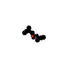 C=C(/C=C(\C=C/C)Oc1cccc(C[C@@]2(C)c3ccccc3-c3cc4ccccc4cc32)c1)C[C@]1(C)c2ccccc2-c2cc3ccccc3cc21